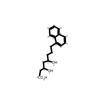 O=C(O)CC(O)CC(O)CCCc1cccc2ccccc12